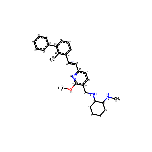 CNC1CCCCC1NCc1ccc(/C=C/c2cccc(-c3ccccc3)c2C)nc1OC